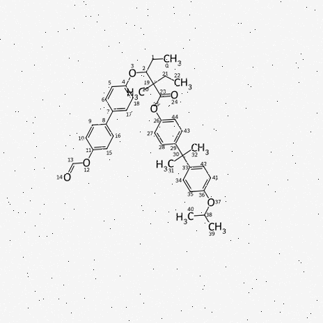 CCC(Oc1ccc(-c2ccc(OC=O)cc2)cc1)C(C)(CC)C(=O)Oc1ccc(C(C)(C)c2ccc(OC(C)C)cc2)cc1